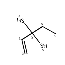 C=CC(S)(S)CC